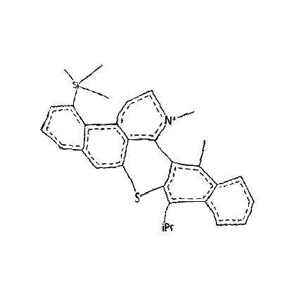 Cc1c2c(c(C(C)C)c3ccccc13)Sc1cc3cccc([Si](C)(C)C)c3c3cc[n+](C)c-2c13